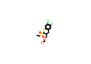 CCS(=O)(=O)C1Sc2cc(Cl)c(F)cc2CC1COC=O